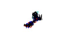 C#Cc1c(F)ccc2cccc(-c3ncc4c(N5CC6CCC(C5)N6)nc(OCCCn5ccc(S(=O)(=O)n6cnc(C7CC7)n6)n5)nc4c3F)c12